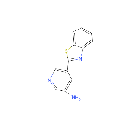 Nc1cncc(-c2nc3ccccc3s2)c1